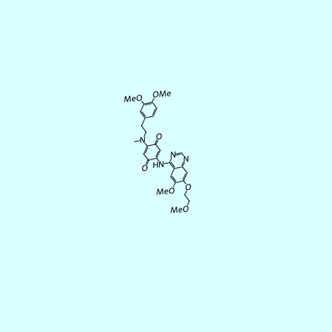 COCCOc1cc2ncnc(NC3=CC(=O)C(N(C)CCc4ccc(OC)c(OC)c4)=CC3=O)c2cc1OC